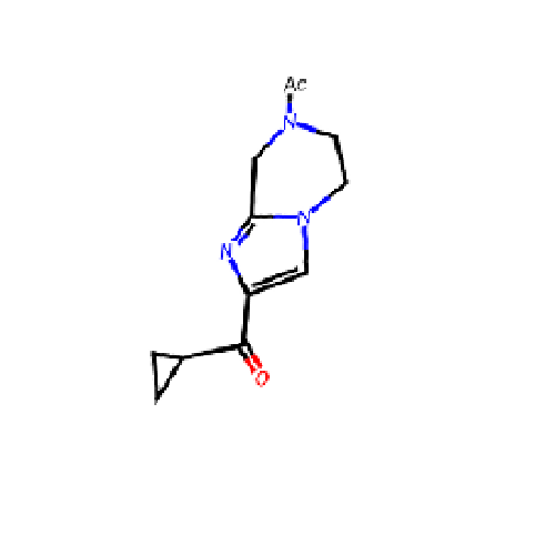 CC(=O)N1CCn2cc(C(=O)C3CC3)nc2C1